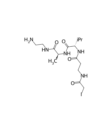 CC(C)[C@H](NC(=O)CCNC(=O)CI)C(=O)N[C@@H](C)C(=O)NCCN